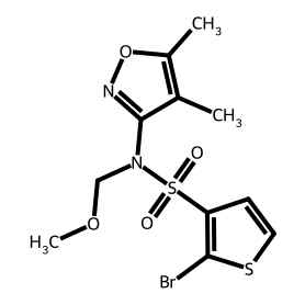 COCN(c1noc(C)c1C)S(=O)(=O)c1ccsc1Br